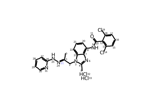 C/C(Cn1c(C)nc2c(NC(=O)c3c(Cl)cccc3Cl)cccc21)=N\Nc1ccccn1.Cl.Cl